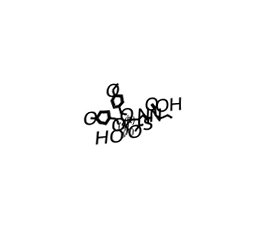 CCCN(C(=O)O)C1=NC2C(O[C@H](CO)[C@@H](OCc3ccc(OC)cc3)[C@@H]2OCc2ccc(OC)cc2)S1